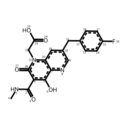 CNC(=O)c1c(O)c2ncc(Cc3ccc(F)cc3)cc2n(CC(=O)O)c1=O